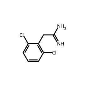 N=C(N)Cc1c(Cl)cccc1Cl